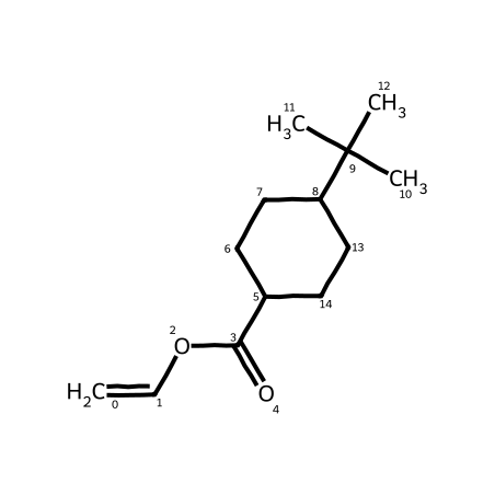 C=COC(=O)C1CCC(C(C)(C)C)CC1